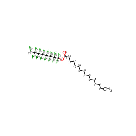 CCCCCCCCCCCCCCCC(=O)OC(F)(F)C(F)(F)C(F)(F)C(F)(F)C(F)(F)C(F)(F)C(F)(F)CF